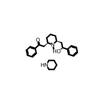 C1CCNCC1.CN1[C@@H](CC(=O)c2ccccc2)CCC[C@H]1C[C@H](O)c1ccccc1